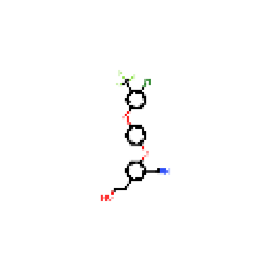 N#Cc1cc(CCO)ccc1Oc1ccc(Oc2ccc(Cl)c(C(F)(F)F)c2)cc1